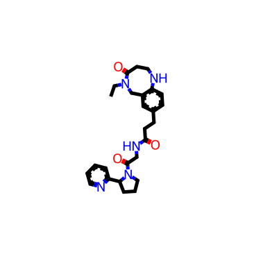 CCN1Cc2cc(CCC(=O)NCC(=O)N3CCCC3c3ccccn3)ccc2NCCC1=O